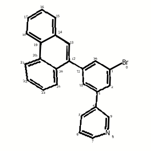 Brc1cc(-c2cccnc2)cc(-c2cc3ccccc3c3ccccc23)c1